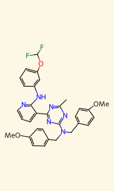 COc1ccc(CN(Cc2ccc(OC)cc2)c2nc(C)nc(-c3cccnc3Nc3cccc(OC(F)F)c3)n2)cc1